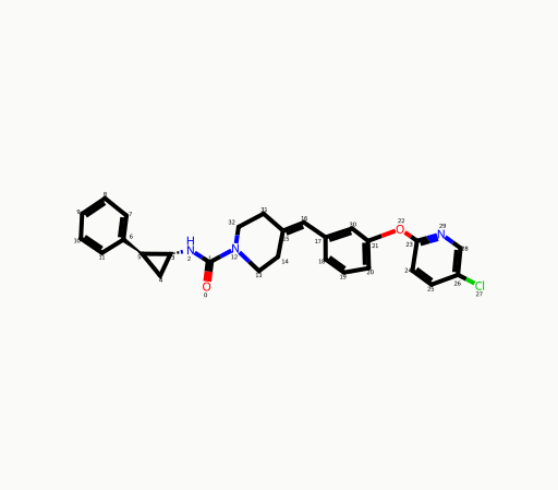 O=C(N[C@@H]1C[C@H]1c1ccccc1)N1CCC(=Cc2cccc(Oc3ccc(Cl)cn3)c2)CC1